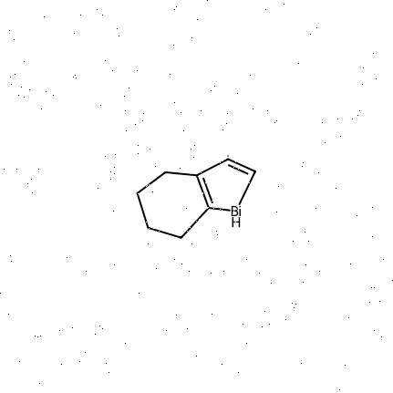 [C]1=[CH][BiH][C]2=C1CCCC2